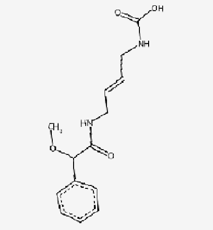 COC(C(=O)NC/C=C/CNC(=O)O)c1ccccc1